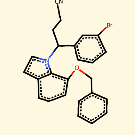 N#CCCC(c1cccc(Br)c1)n1ccc2cccc(OCc3ccccc3)c21